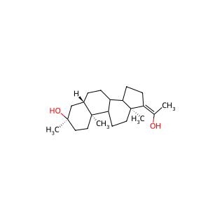 C/C(O)=C1\CCC2C3CC[C@H]4C[C@](C)(O)CC[C@]4(C)C3CC[C@]12C